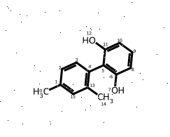 Cc1ccc(-c2c(O)cccc2O)c(C)c1